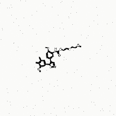 COCCOCCOC(=O)Nc1cc(-c2cnoc2-c2cc(C)c(C)c(OC)c2)ccc1OC